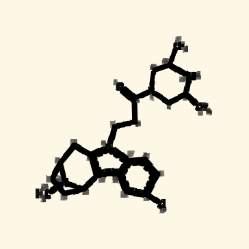 CC1CN(C(=O)CCn2c3c(c4cc(Cl)ccc42)C2CCC(C3)N2C)CC(C)N1